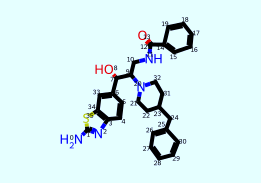 Nc1nc2ccc(C(O)C(CNC(=O)c3ccccc3)N3CCC(Cc4ccccc4)CC3)cc2s1